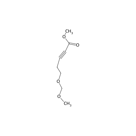 COCOCCC#CC(=O)OC